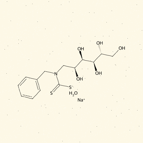 O.OC[C@@H](O)[C@@H](O)[C@H](O)[C@@H](O)CN(Cc1ccccc1)C(=S)[S-].[Na+]